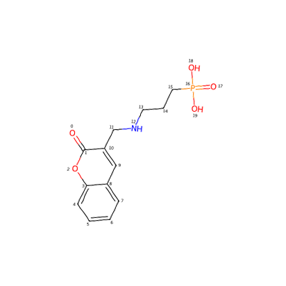 O=c1oc2ccccc2cc1CNCCCP(=O)(O)O